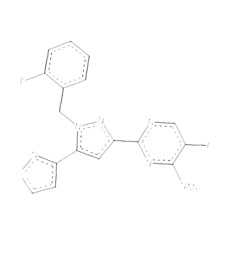 CNc1nc(-c2cc(-c3ccon3)n(Cc3ccccc3F)n2)ncc1F